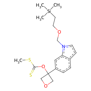 CSC(=S)OC1(c2ccc3ccn(COCC[Si](C)(C)C)c3c2)COC1